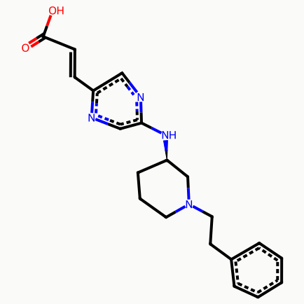 O=C(O)C=Cc1cnc(N[C@@H]2CCCN(CCc3ccccc3)C2)cn1